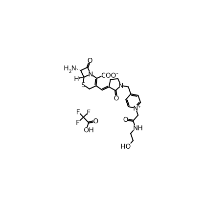 N[C@@H]1C(=O)N2C(C(=O)[O-])=C(C=C3CCN(Cc4cc[n+](CC(=O)NCCO)cc4)C3=O)CS[C@H]12.O=C(O)C(F)(F)F